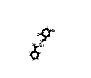 Oc1ccc(Br)cc1C=NNC(=S)c1ccccc1